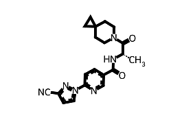 C[C@H](NC(=O)c1ccc(-n2ccc(C#N)n2)nc1)C(=O)N1CCC2(CC1)CC2